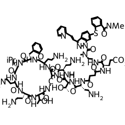 CNC(=O)c1ccccc1Sc1ccc2c(/C=C/c3ccccn3)nn(C(=O)N(C)CCNC(=O)[C@@H](CCC(=O)O)NC(=O)CCC(=O)N[C@H](CCN)C(=O)NC(C(=O)N[C@H](CCN)C(=O)NC3CCNC(=O)C(C(C)O)NC(=O)[C@H](CCN)NC(=O)C(CCN)NC(=O)[C@H](CC(C)C)NC(=O)[C@H](Cc4ccccc4)NC(=O)C(CCN)NC3=O)[C@H](C)O)c2c1